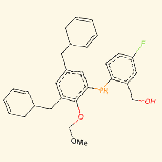 COCOc1c(CC2C=CC=CC2)cc(CC2C=CC=CC2)cc1Pc1ccc(F)cc1CO